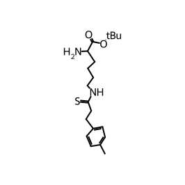 Cc1ccc(CCC(=S)NCCCCC(N)C(=O)OC(C)(C)C)cc1